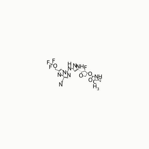 CC1(NC(=O)O[C@@H]2CO[C@H](c3cc(Nc4ncc(C#N)c5nc(COC(F)(F)F)cn45)n[nH]3)[C@@H]2F)CC1